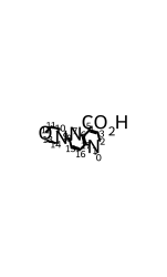 CN1CC=C(C(=O)O)c2nc(N3CCOCC3)ccc21